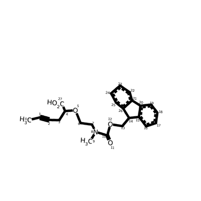 CC#CCC(OCCN(C)C(=O)OCC1c2ccccc2-c2ccccc21)C(=O)O